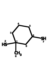 CC1(S)CCCC(S)C1